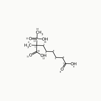 CC(CCCCCC(=O)O)(C(=O)O)P(C)(=O)O